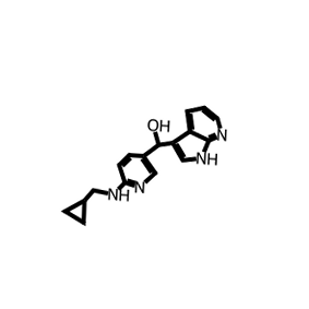 OC(c1ccc(NCC2CC2)nc1)c1c[nH]c2ncccc12